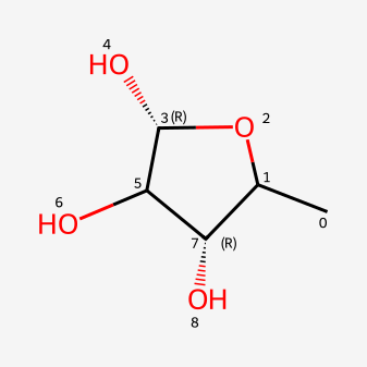 CC1O[C@@H](O)C(O)[C@H]1O